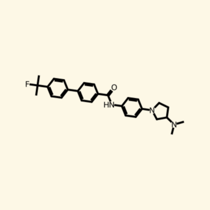 CN(C)C1CCN(c2ccc(NC(=O)c3ccc(-c4ccc(C(C)(C)F)cc4)cc3)cc2)C1